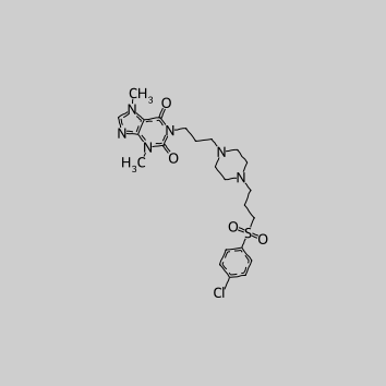 Cn1cnc2c1c(=O)n(CCCN1CCN(CCCS(=O)(=O)c3ccc(Cl)cc3)CC1)c(=O)n2C